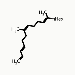 C=CC=CCCC(C)=CCCC=C(C)CCCCCC